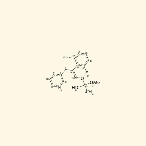 COC(C)(C)ON=C(Cc1cccnc1)c1c(F)cccc1F